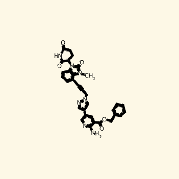 Cn1c(=O)n(C2CCC(=O)NC2=O)c2cccc(C#CCn3cc(-c4cnc(N)c(C(=O)OCc5ccccc5)c4)cn3)c21